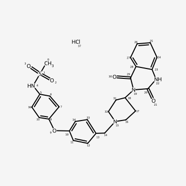 CS(=O)(=O)Nc1ccc(Oc2ccc(CN3CCC(n4c(=O)[nH]c5ccccc5c4=O)CC3)cc2)cc1.Cl